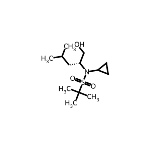 CC(C)C[C@H](CO)N(C1CC1)S(=O)(=O)C(C)(C)C